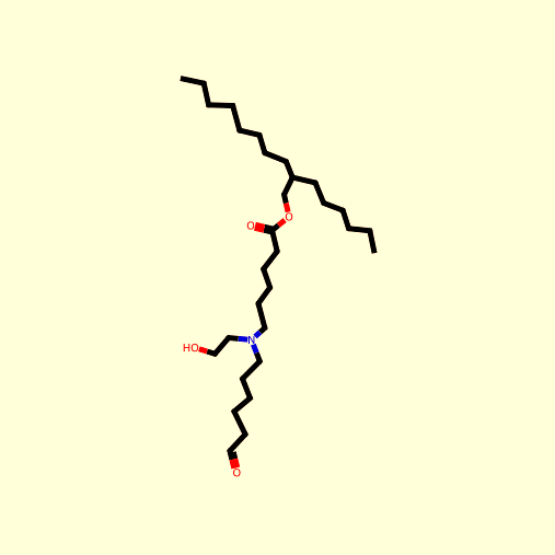 CCCCCCCCC(CCCCCC)COC(=O)CCCCCN(CCO)CCCCCC=O